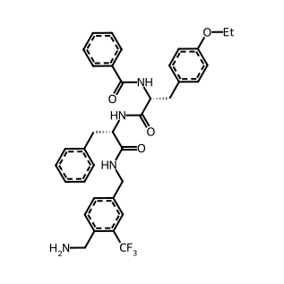 CCOc1ccc(C[C@@H](NC(=O)c2ccccc2)C(=O)N[C@@H](Cc2ccccc2)C(=O)NCc2ccc(CN)c(C(F)(F)F)c2)cc1